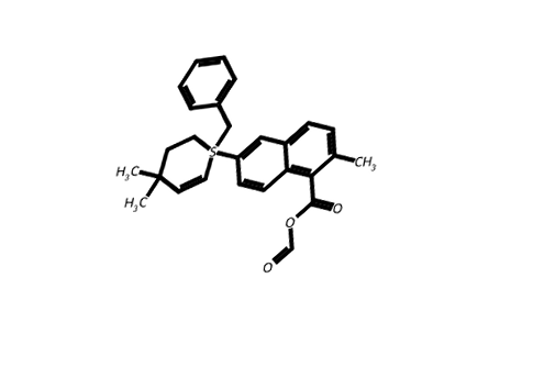 Cc1ccc2cc(S3(Cc4ccccc4)C=CC(C)(C)CC3)ccc2c1C(=O)OC=O